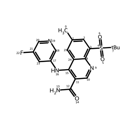 Cc1cc(S(=O)(=O)C(C)(C)C)c2ncc(C(N)=O)c(Nc3cncc(F)c3)c2c1